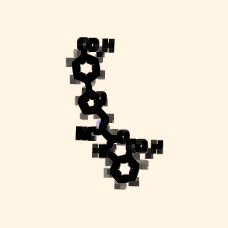 N#C/C(=C\c1ccc(-c2ccc(C(=O)O)cc2)o1)C(=O)Nc1ccccc1C(=O)O